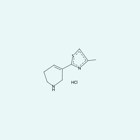 Cc1csc(C2=CCCNC2)n1.Cl